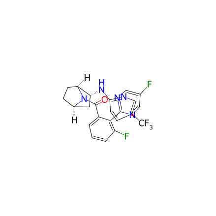 O=C(c1cccc(F)c1-c1ncc(F)cn1)N1[C@@H]2CC[C@H]1[C@H](Nc1ccc(C(F)(F)F)cn1)C2